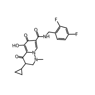 CN1CC(C2CC2)C(=O)c2c(O)c(=O)c(C(=O)NCc3ccc(F)cc3F)cn21